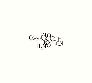 CC1(C=Cc2cnc3c(c2)[C@]2(COC(N)=N2)c2cc(-c4cccnc4F)ccc2O3)COC1